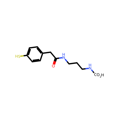 O=C(O)NCCCNC(=O)Cc1ccc(S)cc1